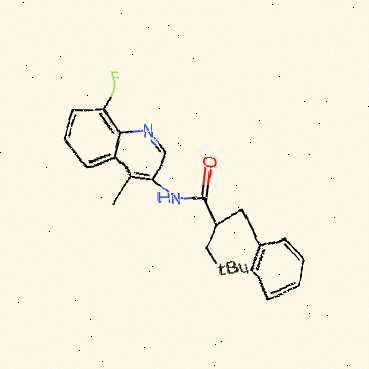 Cc1c(NC(=O)C(Cc2ccccc2)CC(C)(C)C)cnc2c(F)cccc12